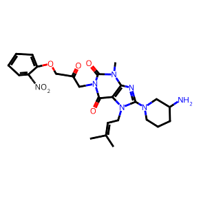 CC(C)=CCn1c(N2CCCC(N)C2)nc2c1c(=O)n(CC(=O)COc1ccccc1[N+](=O)[O-])c(=O)n2C